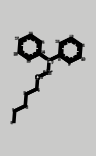 CCCCC[O][Er][P](c1ccccc1)c1ccccc1